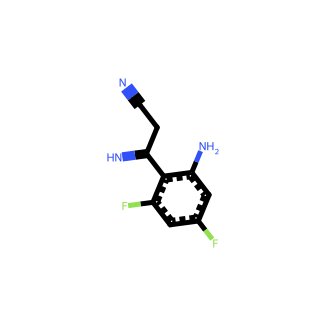 N#CCC(=N)c1c(N)cc(F)cc1F